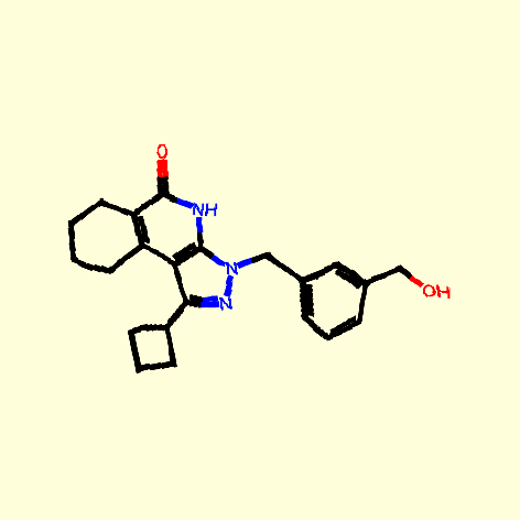 O=c1[nH]c2c(c(C3CCC3)nn2Cc2cccc(CO)c2)c2c1CCCC2